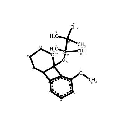 COc1cccc2c1C1(O[Si](C)(C)C(C)(C)C)OCCCC21